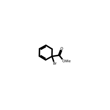 COC(=O)C1(Br)C=CC=CC1